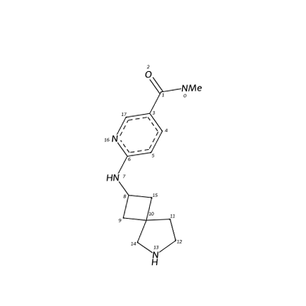 CNC(=O)c1ccc(NC2CC3(CCNC3)C2)nc1